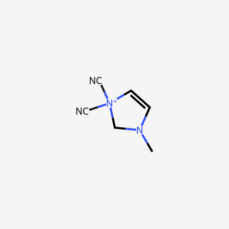 CN1C=C[N+](C#N)(C#N)C1